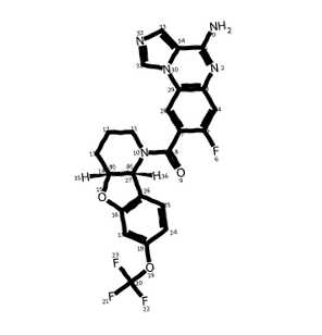 Nc1nc2cc(F)c(C(=O)N3CCC[C@H]4Oc5cc(OC(F)(F)F)ccc5[C@H]43)cc2n2cncc12